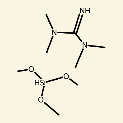 CN(C)C(=N)N(C)C.CO[SiH](OC)OC